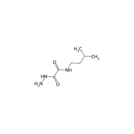 CC(C)CCNC(=O)C(=O)NN